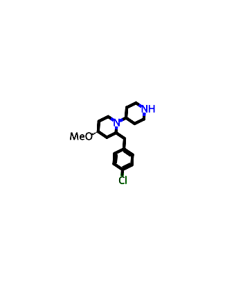 CO[C@@H]1CCN(C2CCNCC2)C(Cc2ccc(Cl)cc2)C1